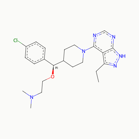 CCc1n[nH]c2ncnc(N3CCC([C@@H](OCCN(C)C)c4ccc(Cl)cc4)CC3)c12